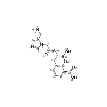 NCc1cnnn1CC(=O)NC1Cc2cccc(C(=O)O)c2OB1O